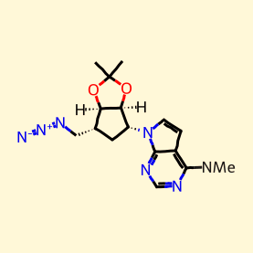 CNc1ncnc2c1ccn2[C@@H]1C[C@H](CN=[N+]=[N-])[C@H]2OC(C)(C)O[C@H]21